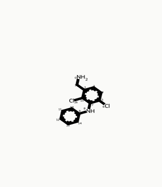 NCc1ccc(Cl)c(Nc2ccccc2)c1Cl